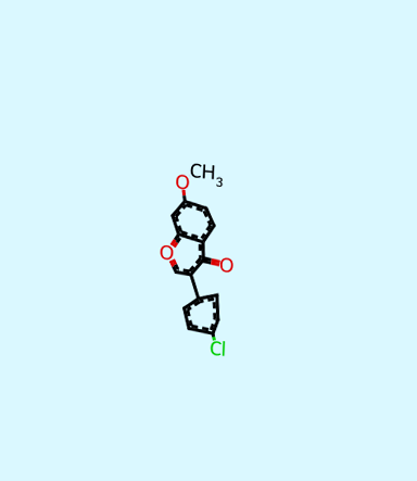 COc1ccc2c(=O)c(-c3ccc(Cl)cc3)coc2c1